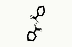 S=C(SSC(=S)C1CCCCC1)C1CCCCC1